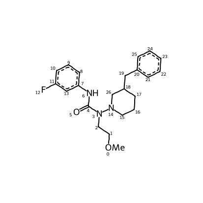 COCCN(C(=O)Nc1cccc(F)c1)N1CCCC(Cc2ccccc2)C1